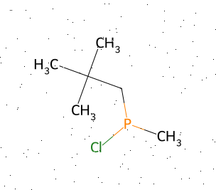 CP(Cl)CC(C)(C)C